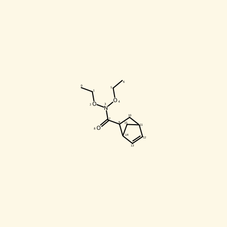 CCON(OCC)C(=O)C1CC2C=CC1C2